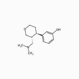 CN(C)C[C@@H]1COCC[C@H]1c1cccc(O)c1